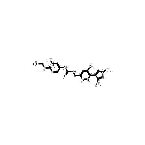 C=C(/N=C\C(=C/CC(F)(F)F)NC(=O)NCc1cc(C)c(-c2cn(C)nc2C(F)(F)F)nn1)OCC(F)(F)F